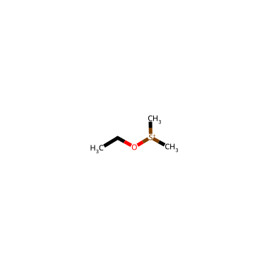 CCO[S+](C)C